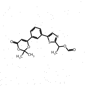 CC(OC=O)c1ncc(-c2cccc(C3=CC(=O)OC(C)(C)O3)c2)s1